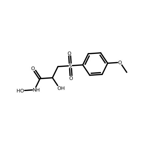 COc1ccc(S(=O)(=O)CC(O)C(=O)NO)cc1